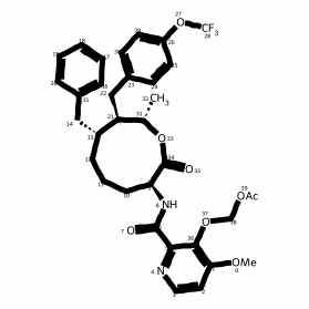 COc1ccnc(C(=O)N[C@H]2CCC[C@H](Cc3ccccc3)[C@@H](Cc3ccc(OC(F)(F)F)cc3)[C@H](C)OC2=O)c1OCOC(C)=O